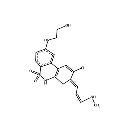 CN/C=C\C=C1/CC2=C(C=C1Cl)c1cc(NCCO)ccc1S(=O)(=O)N2